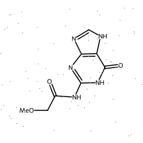 COCC(=O)Nc1nc2nc[nH]c2c(=O)[nH]1